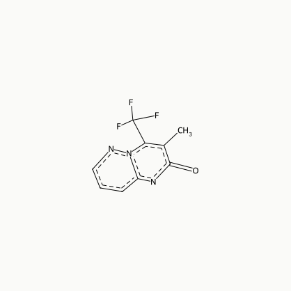 Cc1c(C(F)(F)F)n2ncccc2nc1=O